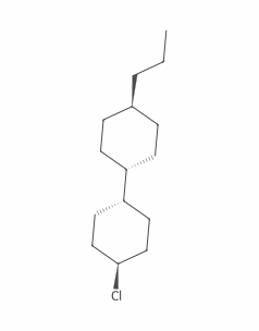 CCC[C@H]1CC[C@H]([C@H]2CC[C@H](Cl)CC2)CC1